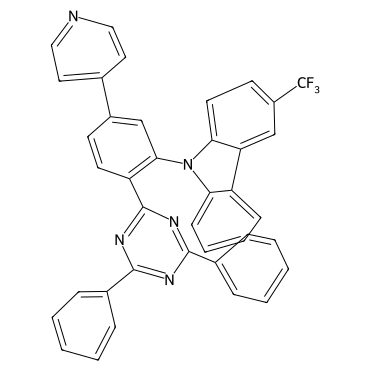 FC(F)(F)c1ccc2c(c1)c1ccccc1n2-c1cc(-c2ccncc2)ccc1-c1nc(-c2ccccc2)nc(-c2ccccc2)n1